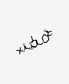 CC(=O)C1(F)CCN(Cc2cc(C)nc(NC(=O)OC(C)(C)C)c2)CC1